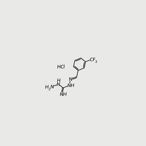 Cl.N=C(NN)NN=Cc1cccc(C(F)(F)F)c1